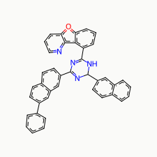 c1ccc(-c2ccc3ccc(C4=NC(c5ccc6ccccc6c5)NC(c5cccc6oc7cccnc7c56)=N4)cc3c2)cc1